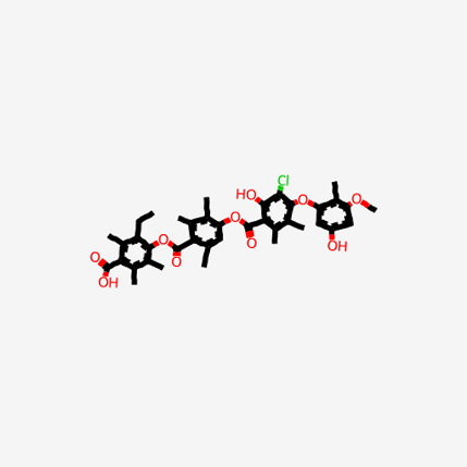 CCc1c(C)c(C(=O)O)c(C)c(C)c1OC(=O)c1c(C)cc(OC(=O)c2c(C)c(C)c(Oc3cc(O)cc(OC)c3C)c(Cl)c2O)c(C)c1C